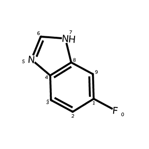 Fc1c[c]c2nc[nH]c2c1